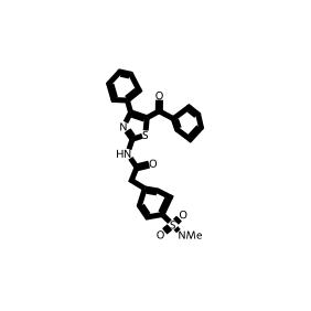 CNS(=O)(=O)c1ccc(CC(=O)Nc2nc(-c3ccccc3)c(C(=O)c3ccccc3)s2)cc1